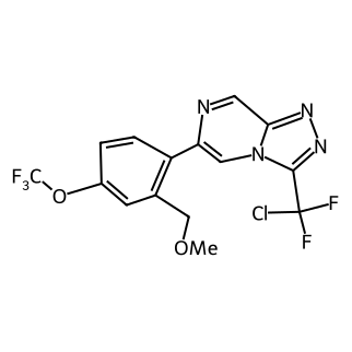 COCc1cc(OC(F)(F)F)ccc1-c1cn2c(C(F)(F)Cl)nnc2cn1